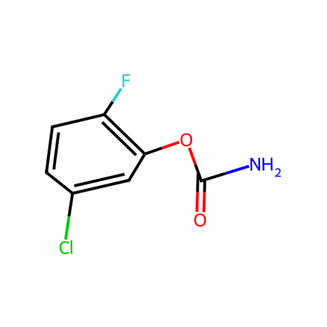 NC(=O)Oc1cc(Cl)ccc1F